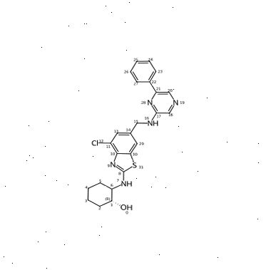 O[C@@H]1CCCCC1Nc1nc2c(Cl)cc(CNc3cncc(-c4ccccc4)n3)cc2s1